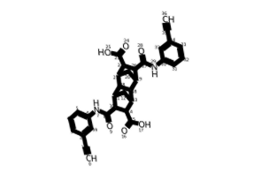 C#Cc1cccc(NC(=O)C2C3CC(C2C(=O)O)C2C4CC(C(C(=O)O)C4C(=O)Nc4cccc(C#C)c4)C32)c1